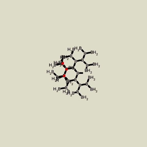 BBB(B)B(B(B(B)B)B(B)B)B(B(C)B(B(B(B)B)B(B)B)B(B(B)B)B(BB)B(B)B)B(B(B)B)B(B)B